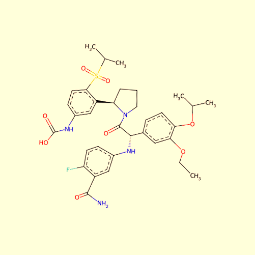 CCOc1cc([C@H](Nc2ccc(F)c(C(N)=O)c2)C(=O)N2CCC[C@@H]2c2cc(NC(=O)O)ccc2S(=O)(=O)C(C)C)ccc1OC(C)C